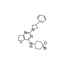 O=S1(=O)CCC(Nc2nc(N3CC(c4ccccc4)C3)nc3c2SCC3)CC1